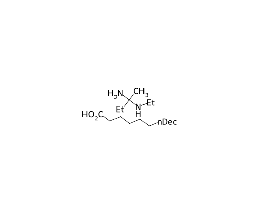 CCCCCCCCCCCCCCCC(=O)O.CCNC(C)(N)CC